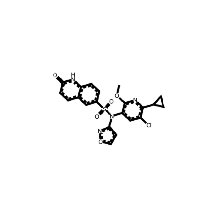 COc1nc(C2CC2)c(Cl)cc1N(c1ccon1)S(=O)(=O)c1ccc2[nH]c(=O)ccc2c1